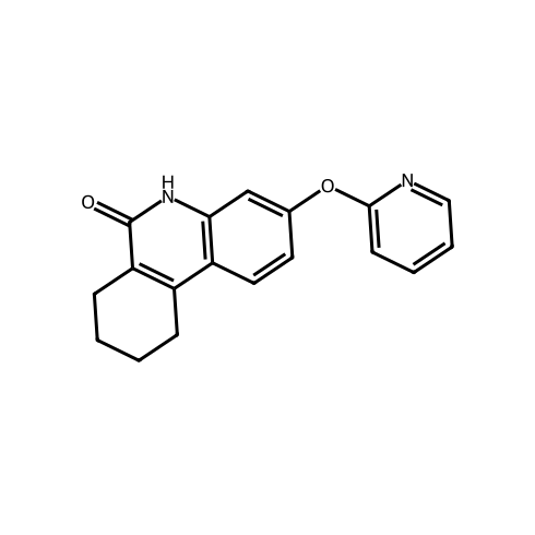 O=c1[nH]c2cc(Oc3ccccn3)ccc2c2c1CCCC2